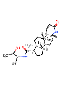 CC(C)C(NC(=O)[C@H]1CC[C@H]2[C@@H]3CC[C@H]4NC(=O)C=C[C@]4(C)[C@H]3CC[C@]12C)C(O)C(F)(F)F